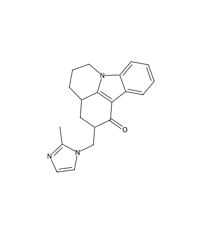 Cc1nccn1CC1CC2CCCn3c2c(c2ccccc23)C1=O